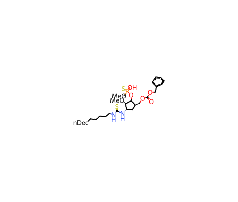 CCCCCCCCCCCCCCCNC(=S)N[C@H]1C[C@H](COC(=O)OCc2ccccc2)C(OP(O)(=S)OC)[C@@H]1OC